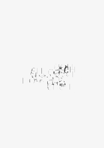 COc1cc(CCC(=O)c2c(OC)cc(OC)c(CCC(C)C)c2OCC(=O)O)ccc1O